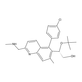 CNCc1ccc2c(-c3ccc(Cl)cc3)c([C@@H](CO)OC(C)(C)C)c(C)cc2n1